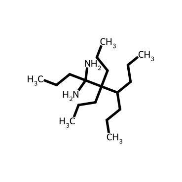 CCCC(CCC)C(CCC)(CCC)C(N)(N)CCC